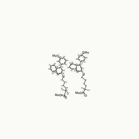 COC(=O)C(C)(C)CCCCOc1cc(-c2ccc(OC)cc2)c2ccccc2n1.COC(=O)C(C)(C)CCCCOc1cc(-c2cccc(OC)c2)c2ccccc2n1